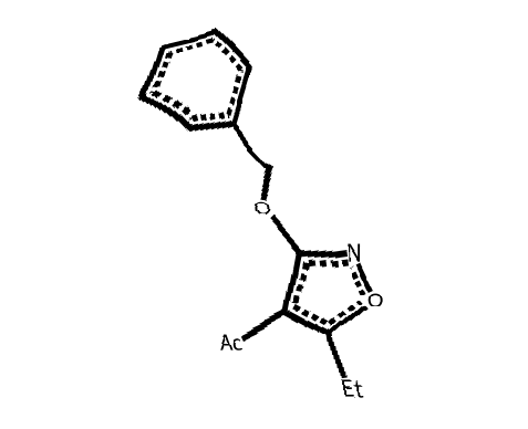 CCc1onc(OCc2ccccc2)c1C(C)=O